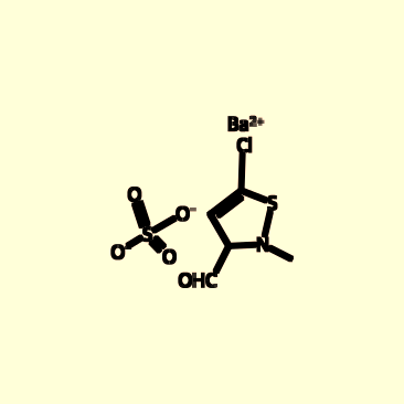 CN1SC(Cl)=CC1C=O.O=S(=O)([O-])[O-].[Ba+2]